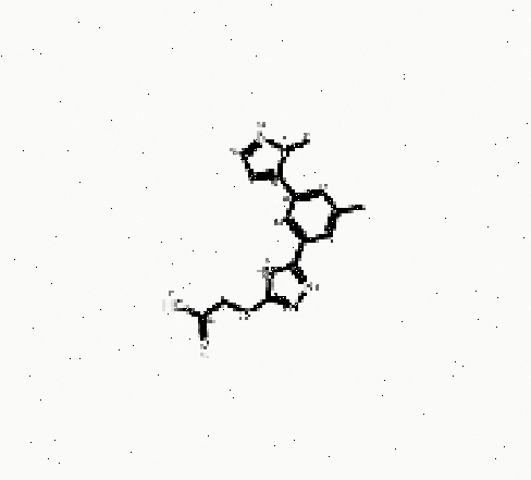 Cc1cc(-c2nnc(SCC(=O)O)[nH]2)cc(-c2ccnn2C)c1